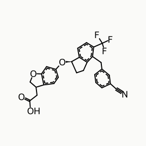 N#Cc1cccc(Cc2c(C(F)(F)F)ccc3c2CC[C@H]3Oc2ccc3c(c2)OCC3CC(=O)O)c1